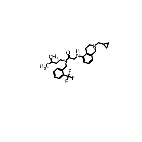 CC(C)CCN(Cc1ccccc1C(F)(F)F)C(=O)CNc1cccc2c1CCN(CC1CC1)C2